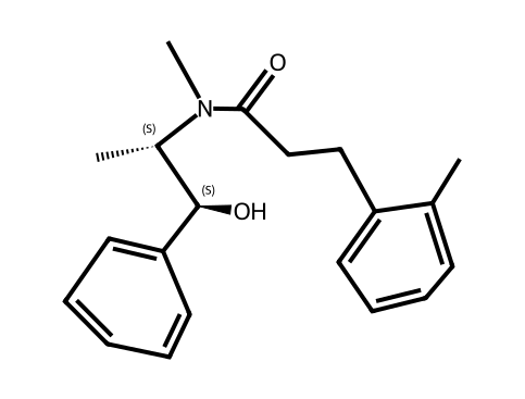 Cc1ccccc1CCC(=O)N(C)[C@@H](C)[C@@H](O)c1ccccc1